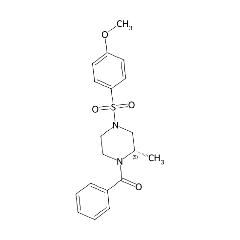 COc1ccc(S(=O)(=O)N2CCN(C(=O)c3ccccc3)[C@@H](C)C2)cc1